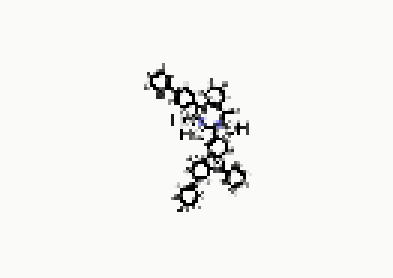 C=C1C2=C(CCC=C2)N(c2ccc(-c3ccccc3)cc2)/C(O)=C(O)\C(C2=Cc3c(n(-c4ccccc4)c4cc(-c5ccccc5)ccc34)CC2)=C/1O